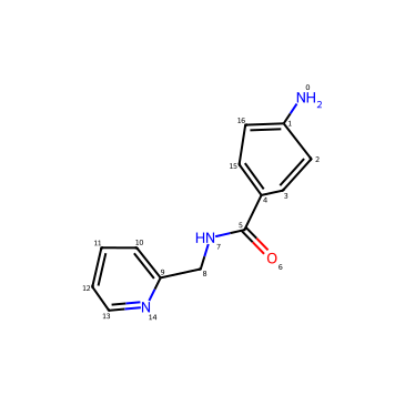 Nc1ccc(C(=O)NCc2ccccn2)cc1